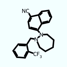 N#Cc1ccc(N2CCCCCN2Cc2ccccc2C(F)(F)F)c2ccccc12